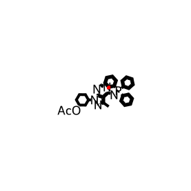 CC(=O)OC1CCCC(n2nc(C)c3c(N=P(c4ccccc4)(c4ccccc4)c4ccccc4)ncnc32)C1